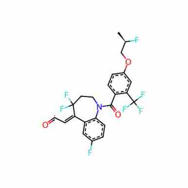 C[C@@H](F)COc1ccc(C(=O)N2CCC(F)(F)/C(=C\[C]=O)c3cc(F)ccc32)c(C(F)(F)F)c1